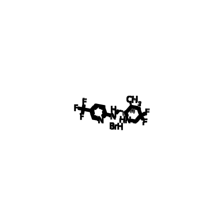 Br.C[C@@H]1CC(F)(F)CN[C@@H]1CNc1ccc(C(F)(F)F)cn1